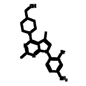 Bc1ccc(-n2cc(C)c3c(N4CCC(CO)CC4)nc(C)nc32)c(Br)c1